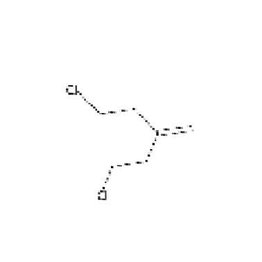 C=C(CCCl)CCCl